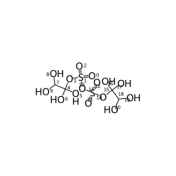 O=S(=O)(OC(O)(O)C(O)O)OS(=O)(=O)OC(O)(O)C(O)O